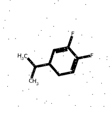 CC(C)C1C=C(F)C(F)=CC1